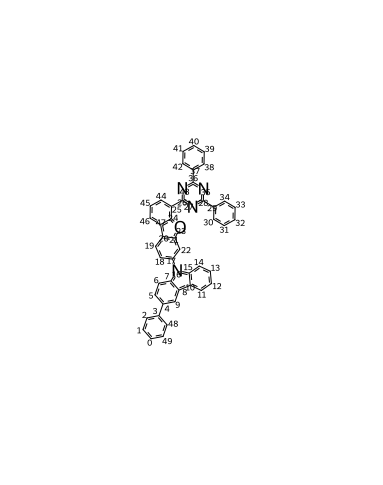 c1ccc(-c2ccc3c(c2)c2ccccc2n3-c2ccc3c(c2)oc2c(-c4nc(-c5ccccc5)nc(-c5ccccc5)n4)cccc23)cc1